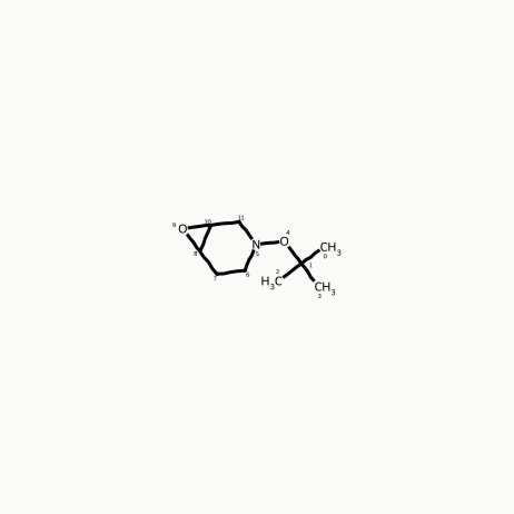 CC(C)(C)ON1CCC2OC2C1